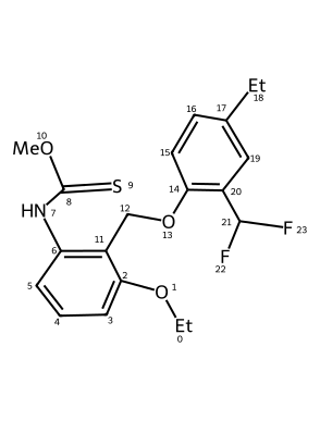 CCOc1cccc(NC(=S)OC)c1COc1ccc(CC)cc1C(F)F